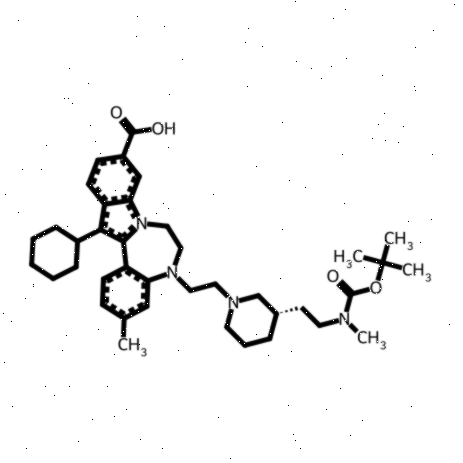 Cc1ccc2c(c1)N(CCN1CCC[C@@H](CCN(C)C(=O)OC(C)(C)C)C1)CCn1c-2c(C2CCCCC2)c2ccc(C(=O)O)cc21